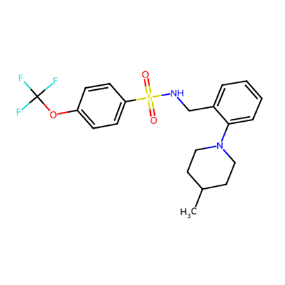 CC1CCN(c2ccccc2CNS(=O)(=O)c2ccc(OC(F)(F)F)cc2)CC1